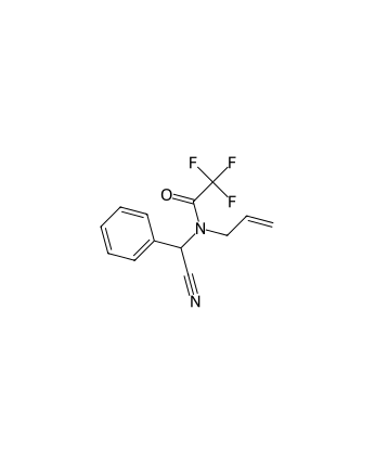 C=CCN(C(=O)C(F)(F)F)C(C#N)c1ccccc1